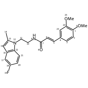 COc1ccc(C=CC(=O)NCCn2c(C)cc3cc(F)ccc32)cc1OC